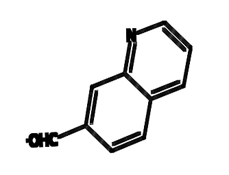 O=[C]c1ccc2cccnc2c1